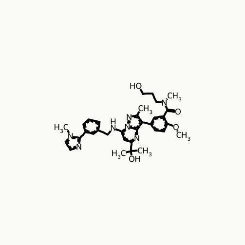 COc1ccc(-c2c(C)nn3c(NCc4cccc(-c5nccn5C)c4)cc(C(C)(C)O)nc23)cc1C(=O)N(C)CCCO